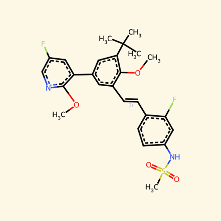 COc1ncc(F)cc1-c1cc(/C=C/c2ccc(NS(C)(=O)=O)cc2F)c(OC)c(C(C)(C)C)c1